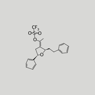 C/C(OS(=O)(=O)C(F)(F)F)=C1/C[C@H](c2ccccc2)O[C@@H]1CCc1ccccc1